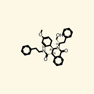 COC1=CCC([C@@H]2[C@@H](C(=O)NCCc3ccccc3)c3ccccc3C(=O)N2[C@H](CO)Cc2ccccc2)C=C1